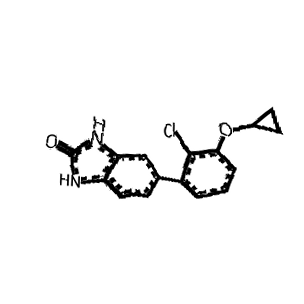 O=c1[nH]c2ccc(-c3cccc(OC4CC4)c3Cl)cc2[nH]1